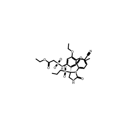 CCCS(=O)(=O)[C@]1(c2cc(OCC)c(OCC)cc2NS(=O)(=O)CC(=O)OCC)CNC(=O)N1c1ccc(C#N)cc1